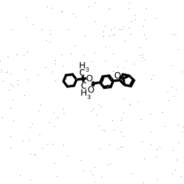 CC(C)(OC(=O)c1ccc(C2CC3C=CC2C3=O)cc1)C1CCCCC1